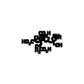 CC(=CC(C=C(C)C(=O)O)(C=C(C)C(=O)O)C(=O)CCCC(CO)(CO)CO)C(=O)O